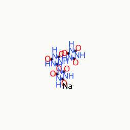 O=c1[nH]c(=O)[nH]c(=O)[nH]1.O=c1[nH]c(=O)[nH]c(=O)[nH]1.O=c1[nH]c(=O)[nH]c(=O)[nH]1.[Na]